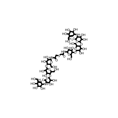 CC1OC(OC2C(CO)OC(OC3C(CO)OC(NC(=O)CSCC(=O)NC4OC(CO)C(OC5OC(CO)C(OC6OC(C)C(NC7C=C(CO)C(O)C(O)C7O)C(O)C6O)C(O)C5O)C(O)C4O)C(O)C3O)C(O)C2O)C(O)C(O)C1NC1C=C(CO)C(O)C(O)C1O